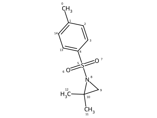 Cc1ccc(S(=O)(=O)N2CC2(C)C)cc1